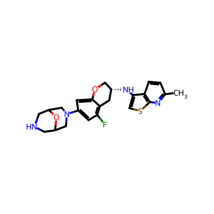 Cc1ccc2c(N[C@H]3COc4cc(N5CC6CNCC(C5)O6)cc(F)c4C3)csc2n1